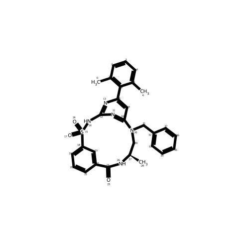 Cc1cccc(C)c1-c1cc2nc(n1)NS(=O)(=O)c1cccc(c1)C(=O)N[C@H](C)CN2Cc1ccccc1